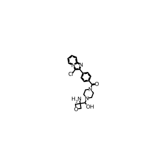 NC1(C(O)N2CCN(C(=O)c3ccc(-c4nc5ccccn5c4Cl)cc3)CC2)COC1